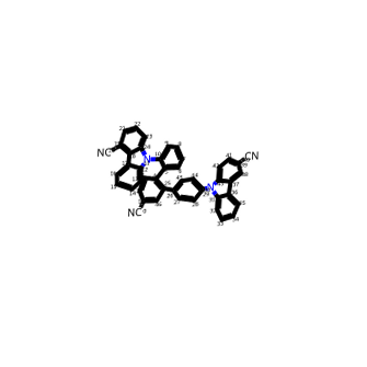 N#Cc1ccc(-c2ccccc2-n2c3ccccc3c3c(C#N)cccc32)c(-c2ccc(-n3c4ccccc4c4cc(C#N)ccc43)cc2)c1